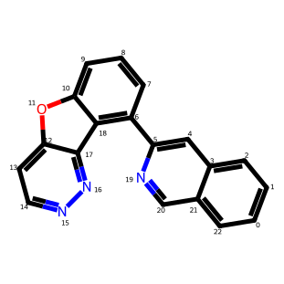 c1ccc2cc(-c3cccc4oc5ccnnc5c34)ncc2c1